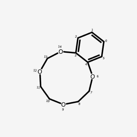 c1ccc2c(c1)OCCOCCOCO2